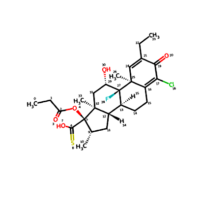 CCC(=O)O[C@]1(C(O)=S)[C@@H](C)C[C@H]2[C@@H]3CCC4=C(Cl)C(=O)C(CC)=C[C@]4(C)[C@@]3(F)[C@@H](O)C[C@@]21C